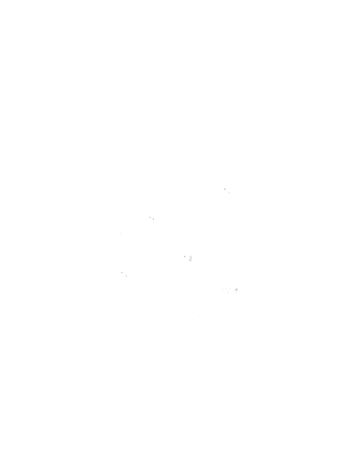 COc1c(F)cccc1Nc1c(-c2ccncc2OCC2OCC2(C)C)[nH]c2c1C(=O)NC1CC21